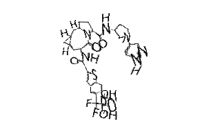 O=C(N[C@H]1C[C@@H]2C[C@@H]2C[C@H]2CC[C@@H](C(=O)N[C@@H]3CCN(c4cn[nH]c4)C3)N2C1=O)c1cc2cc(C(F)(F)P(=O)(O)O)ccc2s1